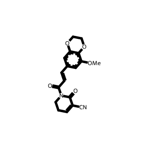 COc1cc(/C=C/C(=O)N2CCC=C(C#N)C2=O)cc2c1OCCO2